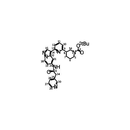 CC(C)(C)OC(=O)N1CCCC(c2cccc(-c3cnn4ccc(NC(=O)Cc5cccnc5)cc34)n2)C1